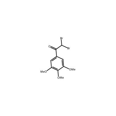 COc1cc(C(=O)C(Br)Br)cc(OC)c1OC